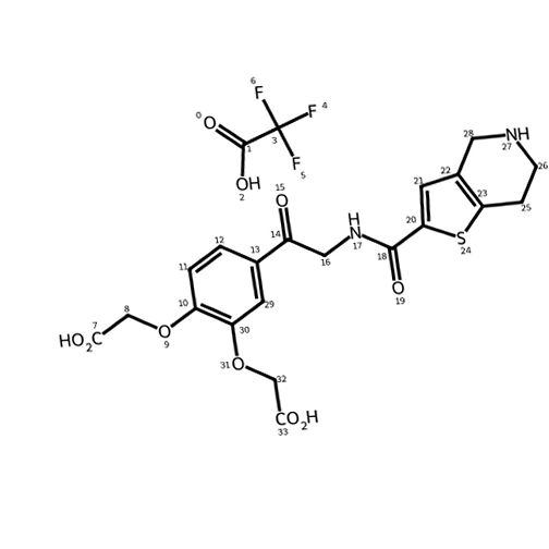 O=C(O)C(F)(F)F.O=C(O)COc1ccc(C(=O)CNC(=O)c2cc3c(s2)CCNC3)cc1OCC(=O)O